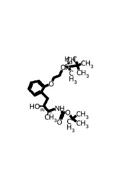 C[C@@H](NC(=O)OC(C)(C)C)[C@@H](O)Cc1ccccc1OCCO[Si](C)(C)C(C)(C)C